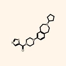 O=C(c1cncs1)N1CCN(c2ccc3c(c2)CCN(C2CCCC2)CC3)CC1